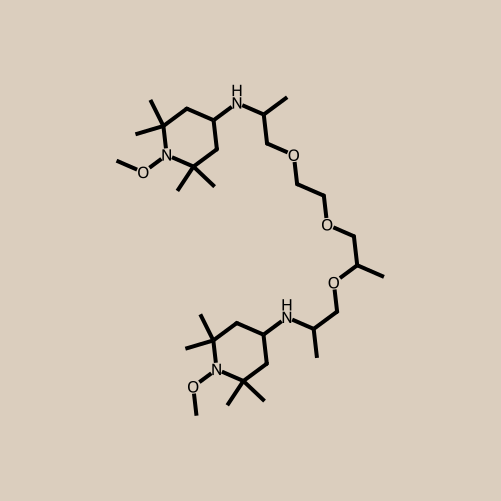 CON1C(C)(C)CC(NC(C)COCCOCC(C)OCC(C)NC2CC(C)(C)N(OC)C(C)(C)C2)CC1(C)C